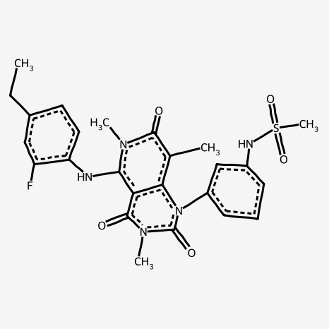 CCc1ccc(Nc2c3c(=O)n(C)c(=O)n(-c4cccc(NS(C)(=O)=O)c4)c3c(C)c(=O)n2C)c(F)c1